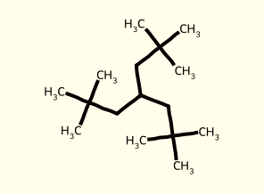 CC(C)(C)C[C](CC(C)(C)C)CC(C)(C)C